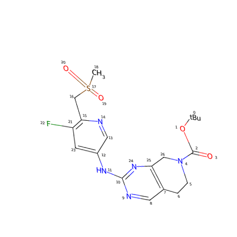 CC(C)(C)OC(=O)N1CCc2cnc(Nc3cnc(CS(C)(=O)=O)c(F)c3)nc2C1